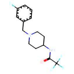 O=C(NC1CCN(Cc2cccc(F)c2)CC1)C(F)(F)F